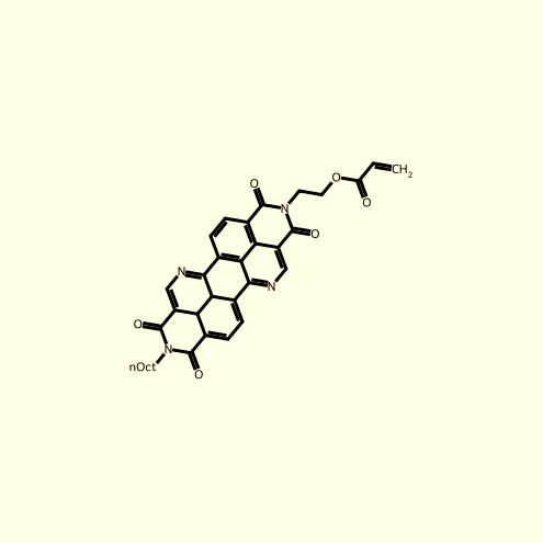 C=CC(=O)OCCN1C(=O)c2ccc3c4c(ncc(c24)C1=O)C1=CC=C2C(=O)N(CCCCCCCC)C(=O)C4=CN=C3C1C24